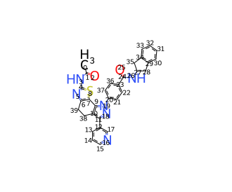 CC(=O)Nc1nc2c(s1)-c1c(c(-c3cccnc3)nn1-c1ccc(C(=O)NC3Cc4ccccc4C3)cc1)CC2